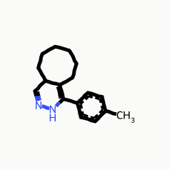 Cc1ccc(C2=C3CCCCCCC3C=NN2)cc1